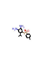 Cc1ccc(S(=O)(=O)Sc2cc(N)c(N)cc2C(C)C)cc1